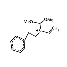 C=C[SiH](CCc1ccccc1)C(OC)OC